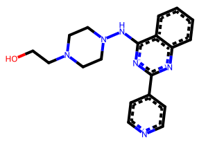 OCCN1CCN(Nc2nc(-c3ccncc3)nc3ccccc23)CC1